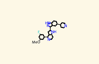 COc1cc(F)cc(-c2nccc3[nH]c(-c4n[nH]c5ccc(-c6ccncc6)cc45)cc23)c1